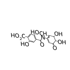 CN(C(=O)c1cc(O)c(C(=O)O)cc1O)C1=CC(=O)C(O)C(O)C1